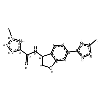 Cc1nc(-c2ccc3c(c2)OCC3NC(=O)c2nnn(C)n2)no1